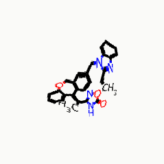 CCc1nc2ccccc2n1Cc1ccc2c(c1)COc1ccccc1C2=C(C)c1noc(=O)[nH]1